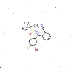 CC(C)(C)[S+]([O-])/N=C(\c1ccc(F)c(Br)c1)c1ccccc1C#N